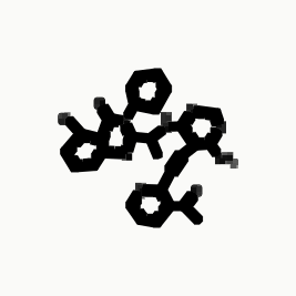 CC(=O)c1cccnc1C#Cc1c(N)ncnc1NC(C)c1nc2cccc(Cl)c2c(=O)n1-c1ccccc1